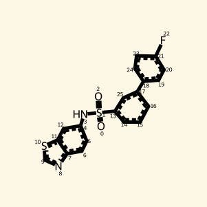 O=S(=O)(Nc1ccc2ncsc2c1)c1cccc(-c2ccc(F)cc2)c1